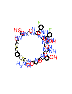 C[C@@]12CCCN1C(=O)[C@H](Cc1ccc(O)cc1)NC(=O)[C@H](Cc1cnc[nH]1)NC(=O)[C@H](CC(=O)O)NC(=O)[C@H](Cc1c[nH]c3ccc(F)cc13)NC(=O)[C@H](Cc1c[nH]c3ccc(F)cc13)NC(=O)CNC(=O)[C@H](CCO)NC(=O)CCSCc1cccc(c1)CSC[C@@H](C(N)=O)NC2=O